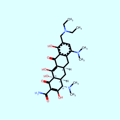 CCN(CC)Cc1cc(N(C)C)c2c(c1O)C(=O)C1=C(O)[C@]3(O)C(=O)C(C(N)=O)=C(O)[C@@H](N(C)C)[C@@H]3C[C@@H]1C2